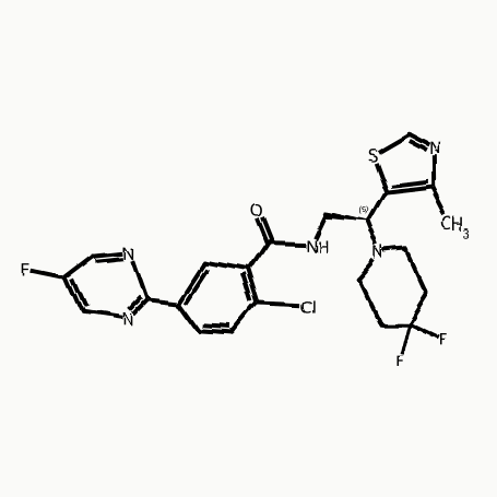 Cc1ncsc1[C@H](CNC(=O)c1cc(-c2ncc(F)cn2)ccc1Cl)N1CCC(F)(F)CC1